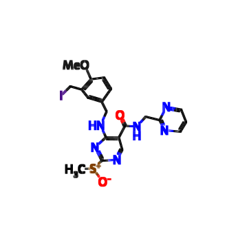 COc1ccc(CNc2nc([S+](C)[O-])ncc2C(=O)NCc2ncccn2)cc1CI